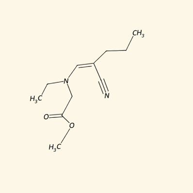 CCCC(C#N)=CN(CC)CC(=O)OC